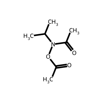 CC(=O)ON(C(C)=O)C(C)C